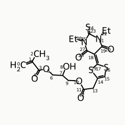 C=C(C)C(=O)OCC(O)COC(=O)CC1=CSC(=C2C(=O)N(CC)C(=S)N(CC)C2=O)S1